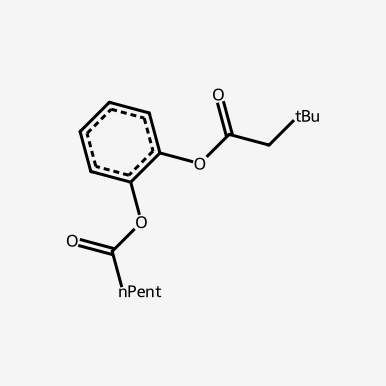 CCCCCC(=O)Oc1ccccc1OC(=O)CC(C)(C)C